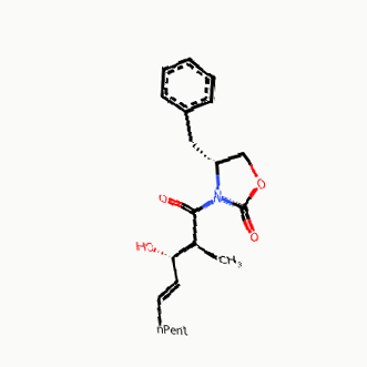 CCCCC/C=C/[C@H](O)[C@H](C)C(=O)N1C(=O)OC[C@H]1Cc1ccccc1